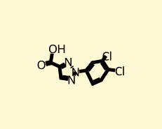 O=C(O)c1cnn(-c2ccc(Cl)c(Cl)c2)n1